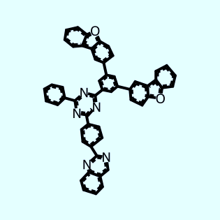 c1ccc(-c2nc(-c3ccc(-c4ncc5ccccc5n4)cc3)nc(-c3cc(-c4ccc5oc6ccccc6c5c4)cc(-c4ccc5oc6ccccc6c5c4)c3)n2)cc1